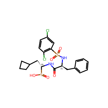 O=C(N[C@@H](CC1CCC1)S(=O)O)[C@H](Cc1ccccc1)NS(=O)(=O)c1cc(Cl)ccc1Cl